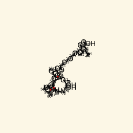 CC[C@H]1OC(=O)[C@H](C)[C@@H](O[C@H]2C[C@@](C)(OC)[C@@H](OC(=O)CCOCCOCCOc3ccc4c(c3)c(=O)c(C(=O)O)cn4C3CC3)[C@H](C)O2)[C@H](C)[C@@H](O[C@@H]2O[C@H](C)C[C@H](N(C)C)C2O)[C@](C)(O)C[C@@H](C)CN(C)[C@H](C)[C@@H](O)[C@]1(C)O